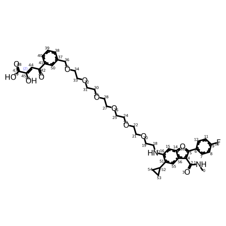 CNC(=O)c1c(-c2ccc(F)cc2)oc2cc(NCCOCCOCCOCCOCCOCCOCc3cccc(C(=O)/C=C(\O)C(=O)O)c3)c(C3CC3)cc12